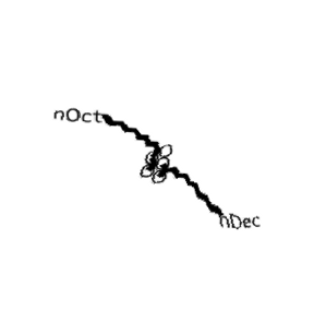 CCCCCCCCC=CCCCCCCCC(=O)OC(=O)OC(=O)CCCCCCCC=CCCCCCCCCCC